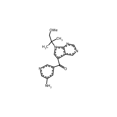 COCC(C)(C)n1cc(C(=O)c2cncc(N)c2)c2cncnc21